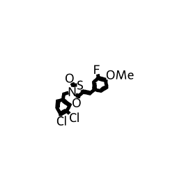 COc1ccc(/C=C2\SC(=O)N(Cc3ccc(Cl)c(Cl)c3)C2=O)cc1F